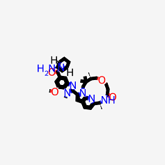 COc1cc(C(=O)N2[C@H]3CC[C@@H]2[C@H](N)C3)cc2nc(-c3cc4ccc5nc4n3CC(C)(C)[C@H](C)COCCC(=O)N[C@@H]5C)n(C)c12